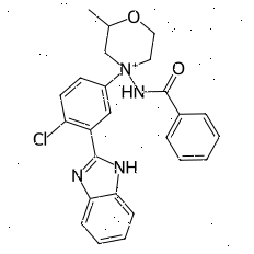 CC1C[N+](NC(=O)c2ccccc2)(c2ccc(Cl)c(-c3nc4ccccc4[nH]3)c2)CCO1